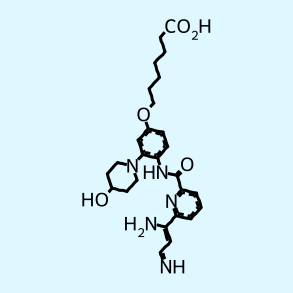 N=C/C=C(\N)c1cccc(C(=O)Nc2ccc(OCCCCCCC(=O)O)cc2N2CCC(O)CC2)n1